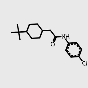 CC(C)(C)C1CCC(CC(=O)Nc2ccc(Cl)cc2)CC1